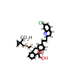 C[C@@](O)(CO)c1ccccc1[C@H](CCSCC1(CC(=O)O)CC1)c1cccc(C=Cc2ccc3ccc(Cl)cc3n2)c1